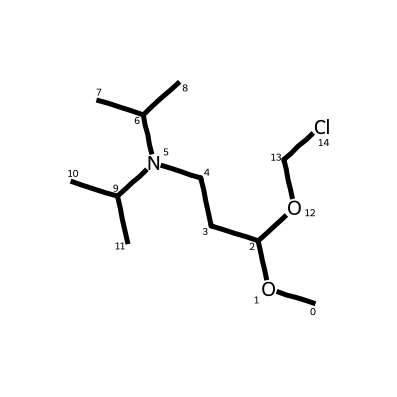 COC(CCN(C(C)C)C(C)C)OCCl